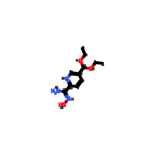 CCOC(OCC)c1ccc(/C(N)=N/O)nc1